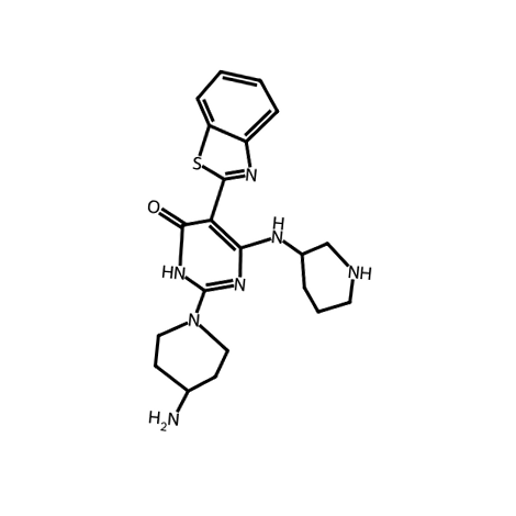 NC1CCN(c2nc(NC3CCCNC3)c(-c3nc4ccccc4s3)c(=O)[nH]2)CC1